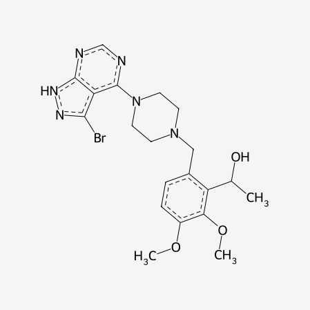 COc1ccc(CN2CCN(c3ncnc4[nH]nc(Br)c34)CC2)c(C(C)O)c1OC